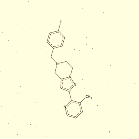 Cc1cccnc1-c1cc2n(n1)CCN(Cc1ccc(F)cc1)C2